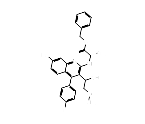 COCC(C)c1c(N[C@@H](C)C(=O)OCc2ccccc2)nc2cc(C)ccc2c1-c1ccc(F)cc1